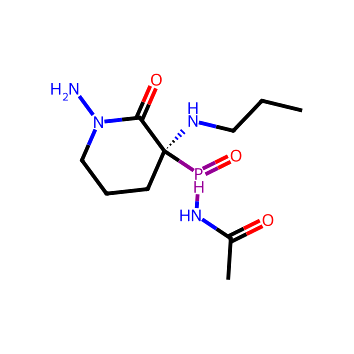 CCCN[C@]1([PH](=O)NC(C)=O)CCCN(N)C1=O